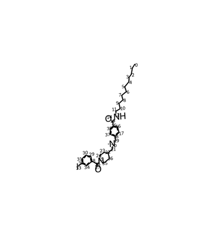 CCCCCCCCCCCCNC(=O)c1ccc(C[N]CC2CCN(C(=O)c3cccc(I)c3)CC2)cc1